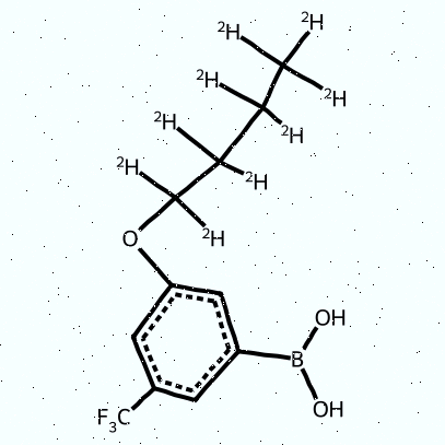 [2H]C([2H])([2H])C([2H])([2H])C([2H])([2H])C([2H])([2H])Oc1cc(B(O)O)cc(C(F)(F)F)c1